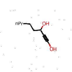 CCCCCC(O)C#CO